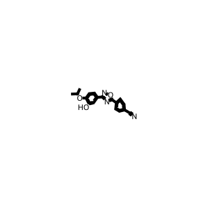 CC(C)Oc1ccc(-c2noc(-c3ccc(C#N)cc3)n2)cc1O